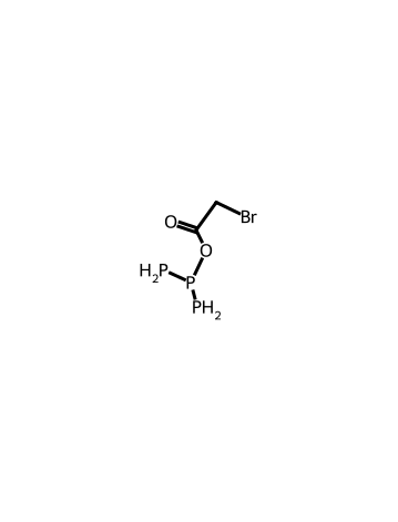 O=C(CBr)OP(P)P